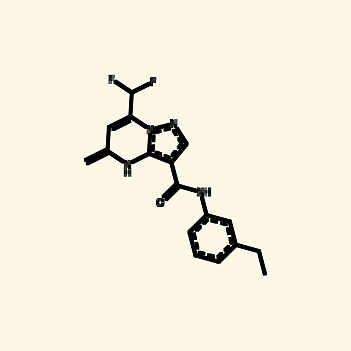 C=C1C=C(C(F)F)n2ncc(C(=O)Nc3cccc(CC)c3)c2N1